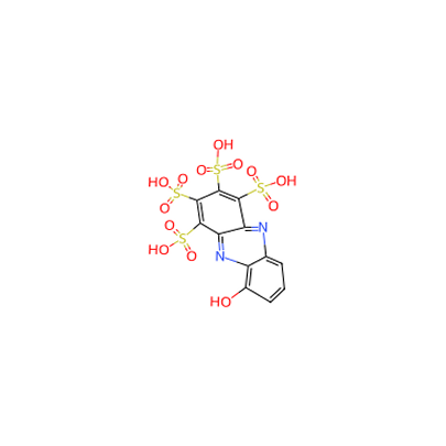 O=S(=O)(O)c1c(S(=O)(=O)O)c(S(=O)(=O)O)c2nc3c(O)cccc3nc2c1S(=O)(=O)O